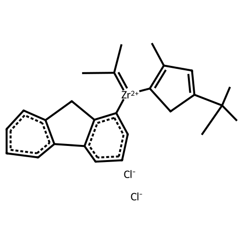 CC1=[C]([Zr+2](=[C](C)C)[c]2cccc3c2Cc2ccccc2-3)CC(C(C)(C)C)=C1.[Cl-].[Cl-]